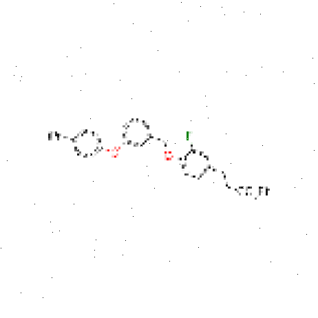 CCOC(=O)CCc1ccc(OCc2cccc(Oc3ccc(C(C)C)cc3)c2)c(F)c1